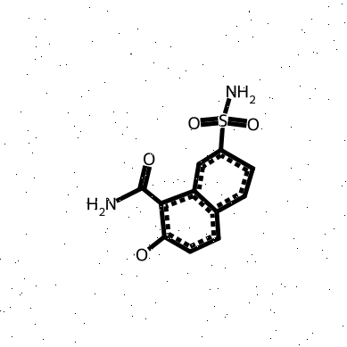 NC(=O)c1c([O])ccc2ccc(S(N)(=O)=O)cc12